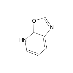 C1=CNC2OC=NC2=C1